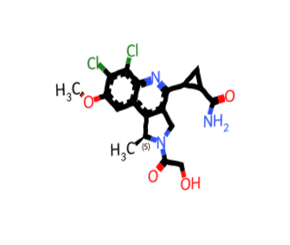 COc1cc2c3c(c(C4CC4C(N)=O)nc2c(Cl)c1Cl)CN(C(=O)CO)[C@H]3C